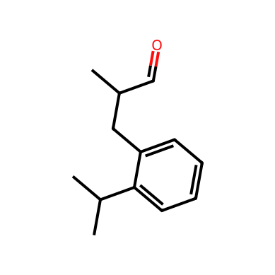 CC(C=O)Cc1ccccc1C(C)C